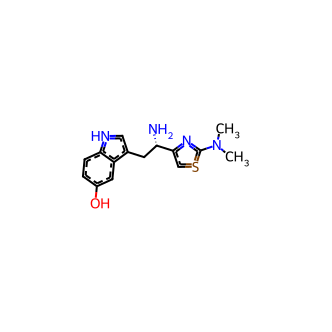 CN(C)c1nc([C@@H](N)Cc2c[nH]c3ccc(O)cc23)cs1